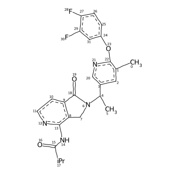 Cc1cc(C(C)N2Cc3c(ccnc3NC(=O)C(C)C)C2=O)cnc1Oc1ccc(F)c(F)c1